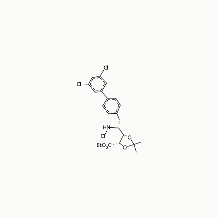 CCOC(=O)[C@H]1OC(C)(C)O[C@H]1[C@@H](Cc1ccc(-c2cc(Cl)cc(Cl)c2)cc1)NCl